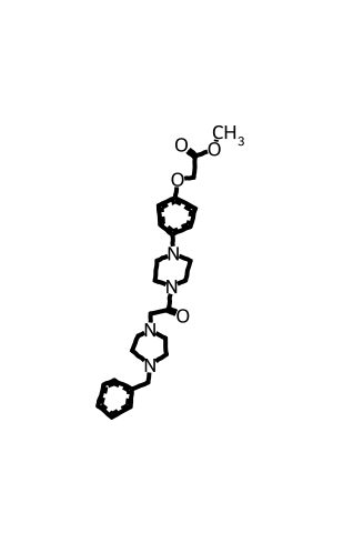 COC(=O)COc1ccc(N2CCN(C(=O)CN3CCN(Cc4ccccc4)CC3)CC2)cc1